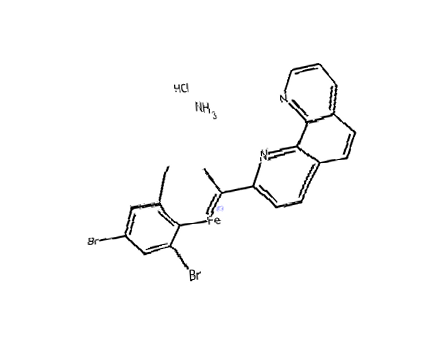 C/[C](=[Fe]\[c]1c(C)cc(Br)cc1Br)c1ccc2ccc3cccnc3c2n1.Cl.N